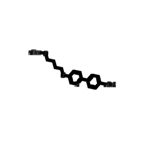 CCCCCCCCc1ccc(-c2ccc(OCCCCOCCCCCC)cn2)cc1